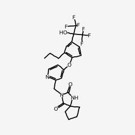 CCCc1cc(C(O)(C(F)(F)F)C(F)(F)F)ccc1Oc1ccnc(CN2C(=O)NC3(CCCC3)C2=O)c1